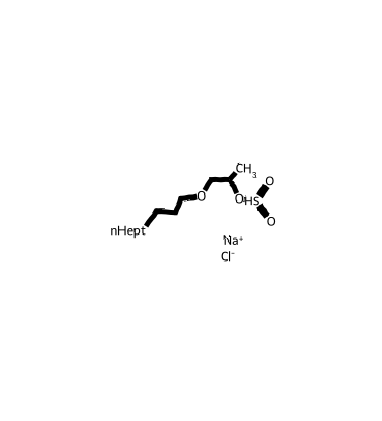 CCCCCCCCCCOC[C](C)O[SH](=O)=O.[Cl-].[Na+]